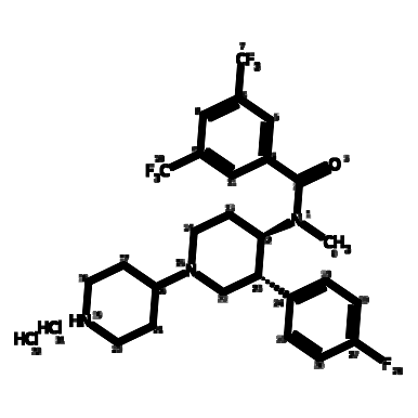 CN(C(=O)c1cc(C(F)(F)F)cc(C(F)(F)F)c1)[C@@H]1CCN(C2CCNCC2)C[C@H]1c1ccc(F)cc1.Cl.Cl